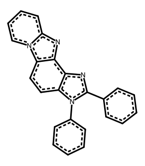 c1ccc(-c2nc3c4nc5ccccn5c4ccc3n2-c2ccccc2)cc1